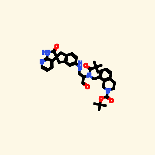 CC(C)(C)OC(=O)N1CCc2cccc(CN(C(=O)C(C)(C)C)C(C=O)CNc3ccc4c(c3)CC3(C4)C(=O)Nc4ncccc43)c2C1